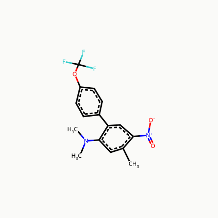 Cc1cc(N(C)C)c(-c2ccc(OC(F)(F)F)cc2)cc1[N+](=O)[O-]